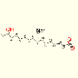 CC(O)CCCCCCCCCCCCCC(=O)[O-].[Na+]